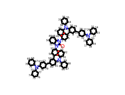 O=c1n(-c2ccc(-c3cc(-c4ccc(N(c5ccccc5)c5ccccc5)cc4)ccc3N(c3ccccc3)c3ccccc3)cc2)c2ccccc2n1-c1ccc(-c2cc(-c3ccc(N(c4ccccc4)c4ccccc4)cc3)ccc2N(c2ccccc2)c2ccccc2)cc1